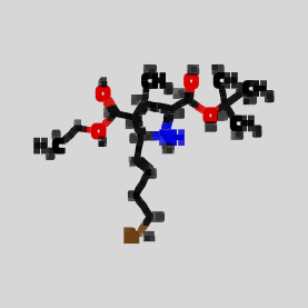 CCOC(=O)c1c(C=CCCBr)[nH]c(C(=O)OC(C)(C)C)c1C